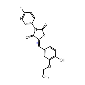 CCOc1cc(/C=C2\SC(=S)N(c3ccc(F)nc3)C2=O)ccc1O